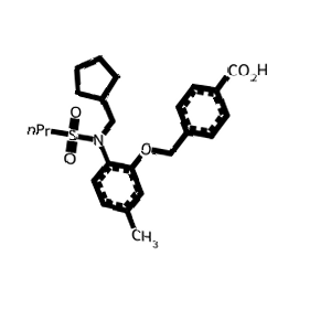 CCCS(=O)(=O)N(CC1CCCC1)c1ccc(C)cc1OCc1ccc(C(=O)O)cc1